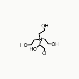 OCC[N+](CCO)(CCO)C(O)CCl